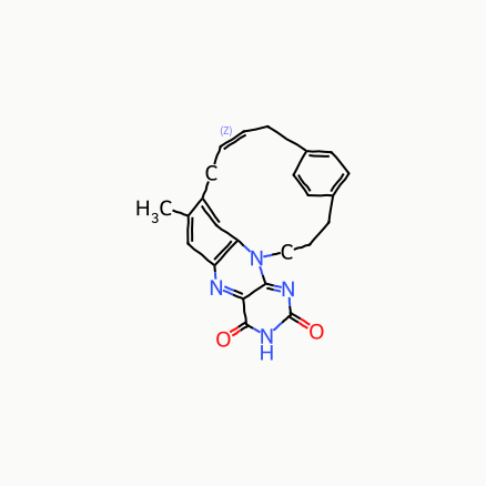 Cc1cc2nc3c(=O)[nH]c(=O)nc-3n3c2cc1C/C=C\Cc1ccc(cc1)CCC3